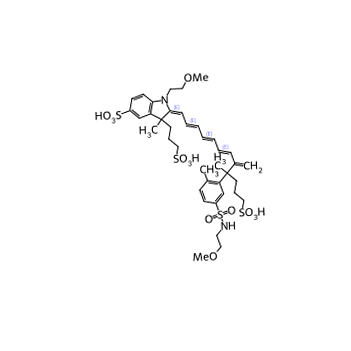 C=C(/C=C/C=C/C=C/C=C1/N(CCOC)c2ccc(S(=O)(=O)O)cc2C1(C)CCCS(=O)(=O)O)C(C)(CCCS(=O)(=O)O)c1cc(S(=O)(=O)NCCOC)ccc1C